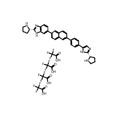 O=C(O)C(F)(F)F.O=C(O)C(F)(F)F.O=C(O)C(F)(F)F.O=C(O)C(F)(F)F.c1cc(-c2cnc([C@@H]3CCCN3)[nH]2)ccc1-c1ccc2cc(-c3ccc4nc([C@@H]5CCCN5)[nH]c4c3)ccc2c1